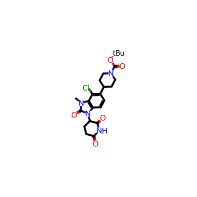 Cn1c(=O)n(C2CCC(=O)NC2=O)c2ccc(C3CCN(C(=O)OC(C)(C)C)CC3)c(Cl)c21